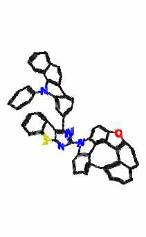 c1ccc(-n2c3cc(-c4nc(-n5c6cccc7c6c6c8c(ccc65)oc5ccc6cccc-7c6c58)nc5sc6ccccc6c45)ccc3c3ccc4ccccc4c32)cc1